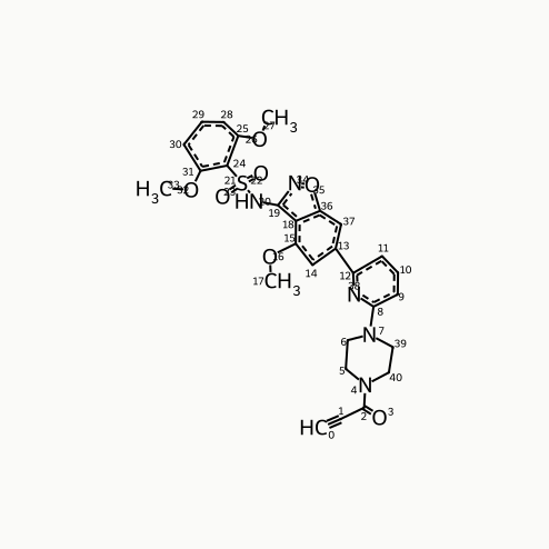 C#CC(=O)N1CCN(c2cccc(-c3cc(OC)c4c(NS(=O)(=O)c5c(OC)cccc5OC)noc4c3)n2)CC1